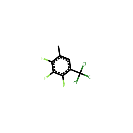 Cc1cc(C(Cl)(Cl)Cl)c(F)c(F)c1F